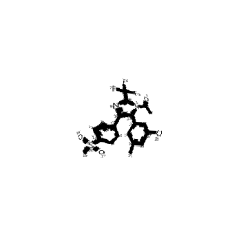 CC(=O)n1c(C(F)(F)F)nc(-c2ccc(S(C)(=O)=O)cc2)c1-c1cc(C)cc(Cl)c1